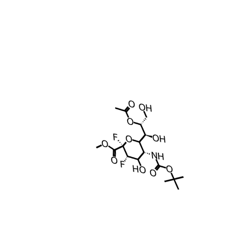 COC(=O)[C@@]1(F)OC([C@H](O)[C@@H](CO)OC(C)=O)[C@H](NC(=O)OC(C)(C)C)C(O)[C@@H]1F